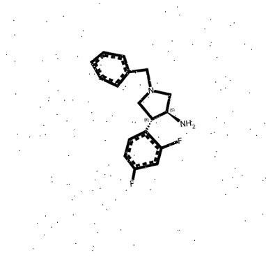 N[C@@H]1CN(Cc2ccccc2)C[C@H]1c1ccc(F)cc1F